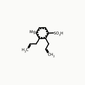 C=CCc1cccc(S(=O)(=O)O)c1CC=C.[Mg]